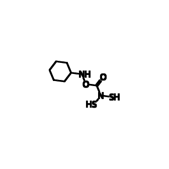 O=C(ONC1CCCCC1)N(S)S